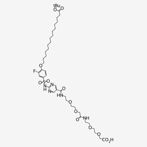 CC(C)(C)OC(=O)CCCCCCCCCCCCCCCOc1ccc(S(=O)(=O)Nc2ncc(C(=O)NCCOCCOCC(=O)NCCOCCOCC(=O)O)cn2)cc1F